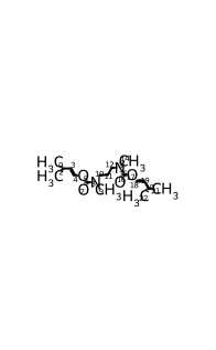 CC(C)C=COC(=O)N(C)CCCN(C)C(=O)OC=CC(C)C